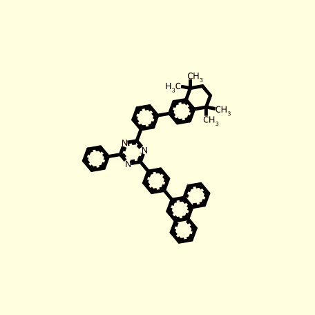 CC1(C)CCC(C)(C)c2cc(-c3cccc(-c4nc(-c5ccccc5)nc(-c5ccc(-c6cc7ccccc7c7ccccc67)cc5)n4)c3)ccc21